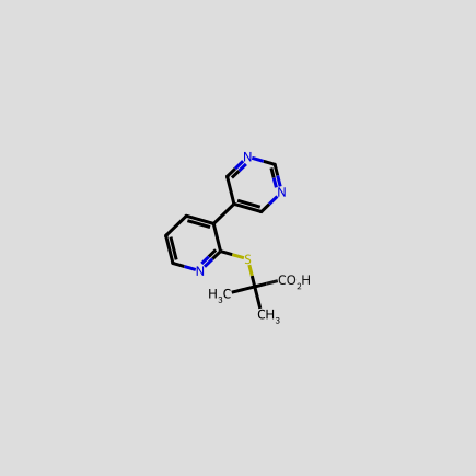 CC(C)(Sc1ncccc1-c1cncnc1)C(=O)O